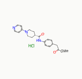 COC(=O)Cc1ccc(NC(=O)C2CCN(c3ccncc3)CC2)cc1.Cl